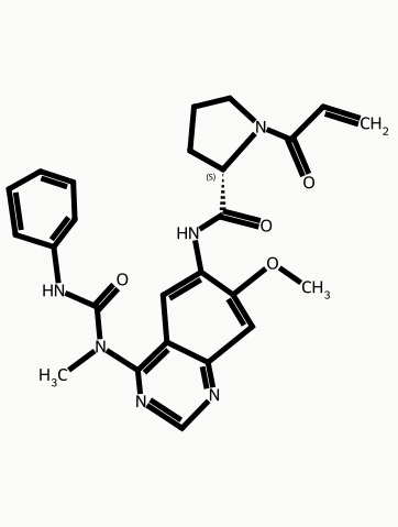 C=CC(=O)N1CCC[C@H]1C(=O)Nc1cc2c(N(C)C(=O)Nc3ccccc3)ncnc2cc1OC